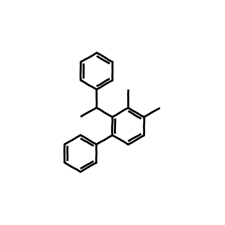 Cc1ccc(-c2ccccc2)c(C(C)c2ccccc2)c1C